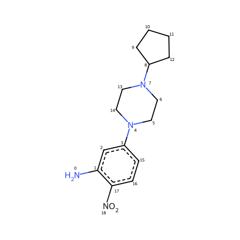 Nc1cc(N2CCN(C3CCCC3)CC2)ccc1[N+](=O)[O-]